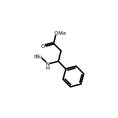 COC(=O)CC(NC(C)(C)C)c1ccccc1